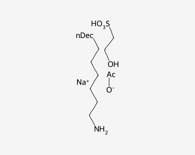 CC(=O)[O-].CCCCCCCCCCCCCCCCN.O=S(=O)(O)CCO.[Na+]